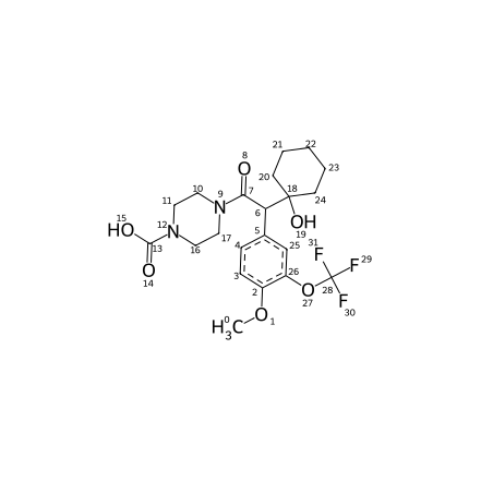 COc1ccc(C(C(=O)N2CCN(C(=O)O)CC2)C2(O)CCCCC2)cc1OC(F)(F)F